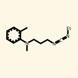 CCN=C=NCCCN(C)c1ccccc1C